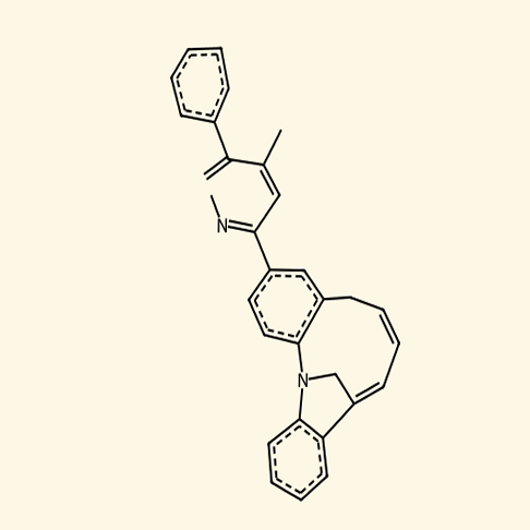 C=C(/C(C)=C\C(=N/C)c1ccc2c(c1)C/C=C\C=C1/CN2c2ccccc21)c1ccccc1